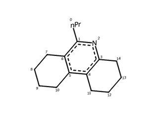 CCCc1nc2c(c3c1CCCC3)CCCC2